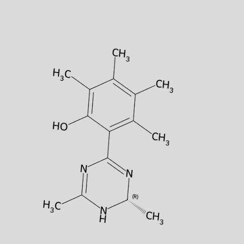 CC1=NC(c2c(C)c(C)c(C)c(C)c2O)=N[C@H](C)N1